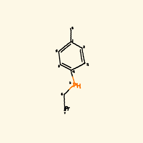 Cc1ccc(PCC(C)C)cc1